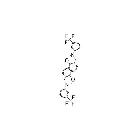 FC(F)(F)c1cccc(N2COc3c(ccc4c5c(ccc34)CN(c3cccc(C(F)(F)F)c3)CO5)C2)c1